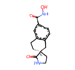 O=C(NO)c1ccc2c(c1)CC[C@@]1(CCNC1=O)C2